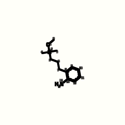 CO[Si](C)(C)CCCc1ccccc1N